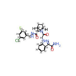 NC(=O)c1nn(CC(=O)N2[C@@H]3CC[C@@H](C3)[C@H]2C(=O)NCc2cc(F)cc(Cl)c2)c2ccccc12